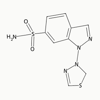 NS(=O)(=O)c1ccc2cnn(N3CSC=N3)c2c1